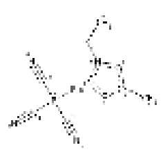 CC[n+]1ccn(C)c1.N#C[B-](F)(C#N)C#N